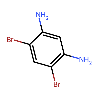 Nc1cc(N)c(Br)cc1Br